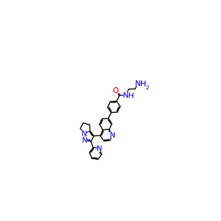 NCCNC(=O)c1ccc(-c2ccc3c(-c4c(-c5ccccn5)nn5c4CCC5)ccnc3c2)cc1